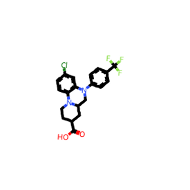 O=C(O)C1CCN2c3ccc(Cl)cc3N(c3ccc(C(F)(F)F)cc3)CC2C1